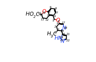 CC1CC(OCc2cccc3c2CCC(C(=O)O)O3)=CN=C1c1ccn[nH]1